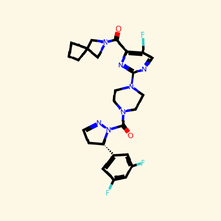 O=C(c1nc(N2CCN(C(=O)N3N=CC[C@H]3c3cc(F)cc(F)c3)CC2)ncc1F)N1CC2(CCC2)C1